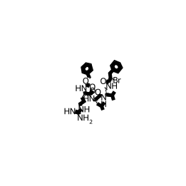 CC(C)C[C@H](NC(=O)[C@H](CCCNC(=N)N)NC(=O)OCc1ccccc1)C(=O)N[C@H](CNC(=O)[C@@H](Br)Cc1ccccc1)C(C)C